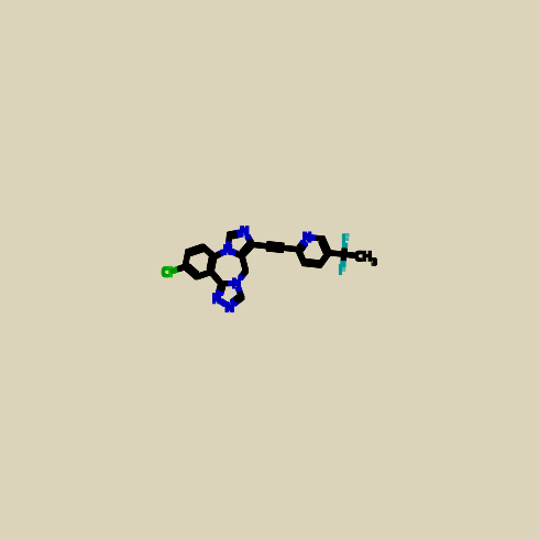 CC(F)(F)c1ccc(C#Cc2ncn3c2Cn2cnnc2-c2cc(Cl)ccc2-3)nc1